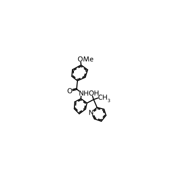 COc1ccc(C(=O)Nc2ccccc2C(C)(O)c2ccccn2)cc1